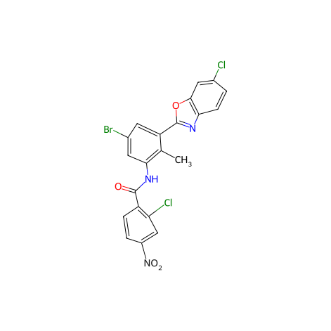 Cc1c(NC(=O)c2ccc([N+](=O)[O-])cc2Cl)cc(Br)cc1-c1nc2ccc(Cl)cc2o1